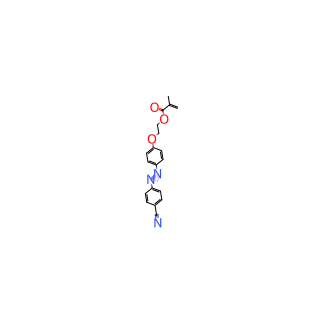 C=C(C)C(=O)OCCOc1ccc(/N=N/c2ccc(C#N)cc2)cc1